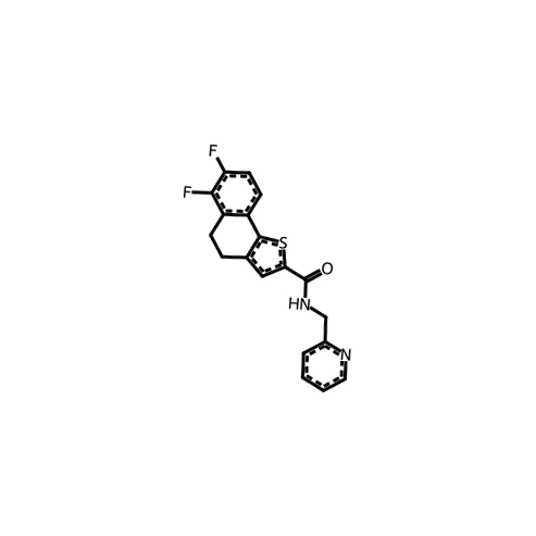 O=C(NCc1ccccn1)c1cc2c(s1)-c1ccc(F)c(F)c1CC2